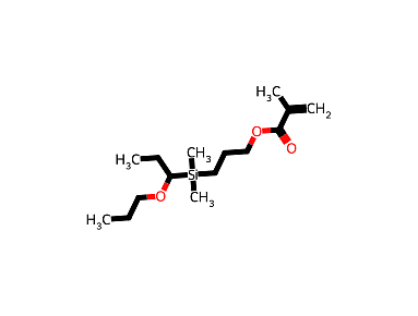 C=C(C)C(=O)OCCC[Si](C)(C)C(CC)OCCC